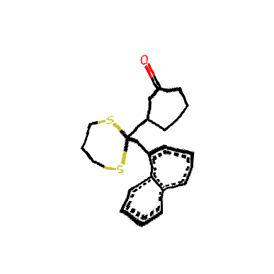 O=C1CCCC(C2(c3cccc4ccccc34)SCCCS2)C1